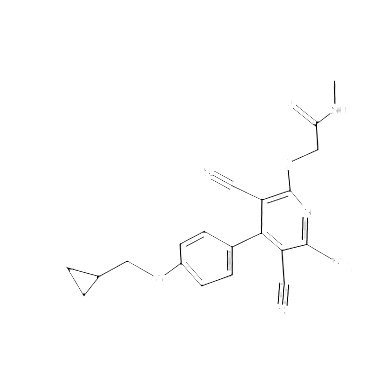 CNC(=O)CSc1nc(N)c(C#N)c(-c2ccc(OCC3CC3)cc2)c1C#N